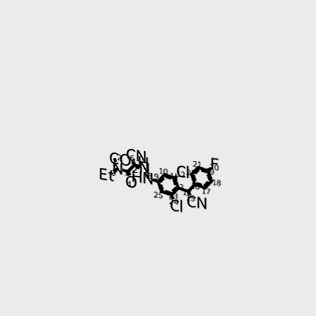 CCN(C(=O)O)C(=O)C(C#N)=NNc1cc(Cl)c(C(C#N)c2ccc(F)cc2)c(Cl)c1